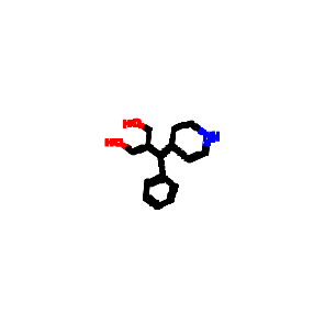 OCC(CO)C(c1ccccc1)C1CCNCC1